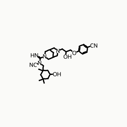 CC1(C)CC(O)CC(C)(CN(C#N)C(=N)N2CC3CC(CN(CC(O)COc4ccc(C#N)cc4)C3)C2)C1